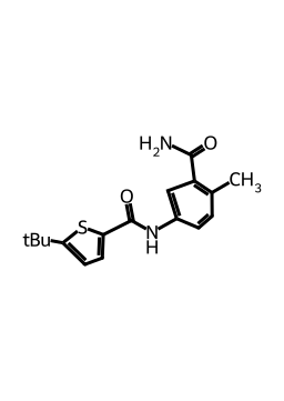 Cc1ccc(NC(=O)c2ccc(C(C)(C)C)s2)cc1C(N)=O